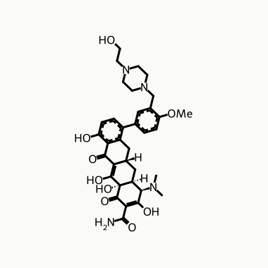 COc1ccc(-c2ccc(O)c3c2C[C@@H]2C[C@H]4[C@@H](N(C)C)C(O)=C(C(N)=O)C(=O)[C@@]4(O)C(O)=C2C3=O)cc1CN1CCN(CCO)CC1